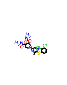 Cc1nc(N2CCC(OC(N)=O)(C(N)=O)CC2)cnc1Sc1cccc(Cl)c1Cl